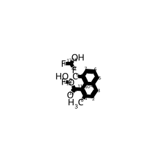 Cc1ccc2cccc(C(=O)O)c2c1C(=O)OF.OC(F)F